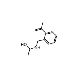 C=C(C)c1ccccc1CNC(C)O